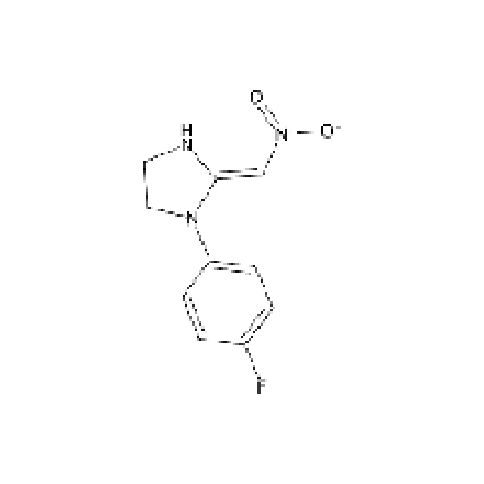 O=[N+]([O-])C=C1NCCN1c1ccc(F)cc1